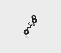 CC(C)(C)c1ccc(CCC(=O)Nc2ccc3c(c2)CCC3)cc1